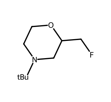 CC(C)(C)N1CCOC(CF)C1